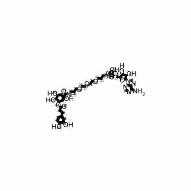 Nc1ncnc2c1ncn2C1OC(COP(=O)(O)ONCCCOCCOCCOCCCNC(=O)C2(O)CC(O)C(O)C(OC(=O)/C=C/c3ccc(O)c(O)c3)C2)C(O)C1O